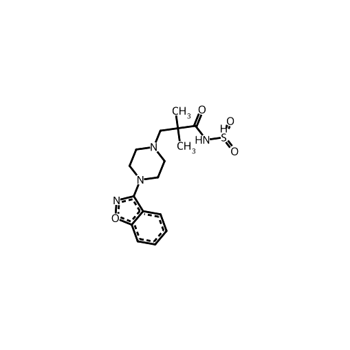 CC(C)(CN1CCN(c2noc3ccccc23)CC1)C(=O)N[SH](=O)=O